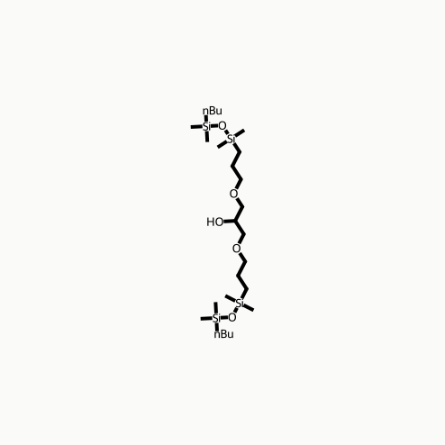 CCCC[Si](C)(C)O[Si](C)(C)CCCOCC(O)COCCC[Si](C)(C)O[Si](C)(C)CCCC